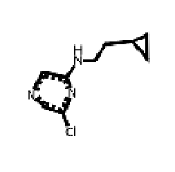 Clc1cncc(NCCC2CC2)n1